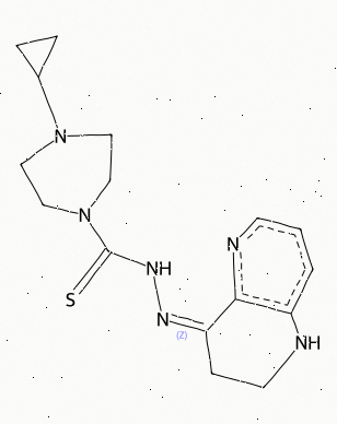 S=C(N/N=C1/CCNc2cccnc21)N1CCN(C2CC2)CC1